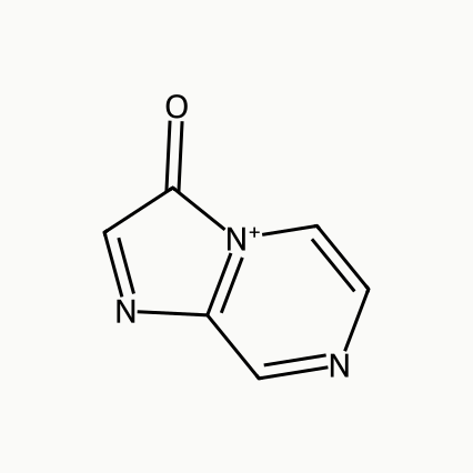 O=C1C=Nc2cncc[n+]21